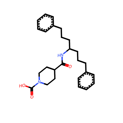 O=C(NC(CCCc1ccccc1)CCCc1ccccc1)C1CCN(C(=O)O)CC1